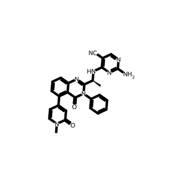 C[C@H](Nc1nc(N)ncc1C#N)c1nc2cccc(-c3ccn(C)c(=O)c3)c2c(=O)n1-c1ccccc1